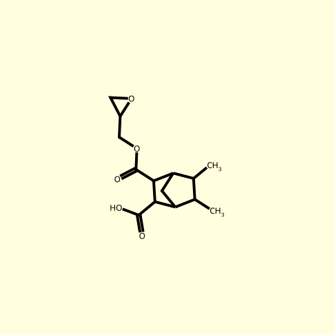 CC1C(C)C2CC1C(C(=O)O)C2C(=O)OCC1CO1